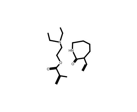 C=C(C)C(=O)OCCN(CC)CC.C=CC1CCCCNC1=O